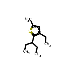 CCc1cc(C)sc1C(CC)CC